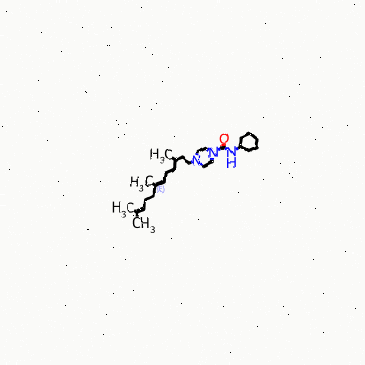 CC(C)=CCC/C(C)=C/CCC(C)CCN1CCN(C(=O)NC2CCCCC2)CC1